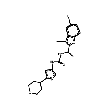 Cc1c(C(C)NC(=O)Nc2cnn(C3CCOCC3)c2)oc2ccc(F)cc12